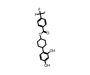 O=C(OC1CCC(c2ccc(O)cc2O)CC1)c1ccc(C(F)(F)F)cc1